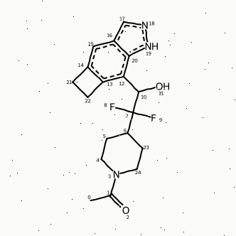 CC(=O)N1CCC(C(F)(F)C(O)c2c3c(cc4cn[nH]c24)CC3)CC1